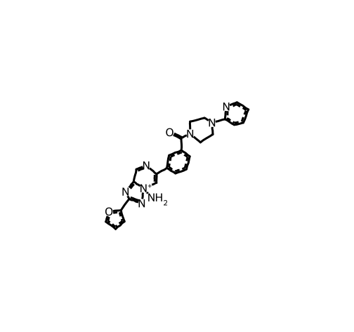 N[N+]12C=C(c3cccc(C(=O)N4CCN(c5ccccn5)CC4)c3)N=CC1=NC(c1ccco1)=N2